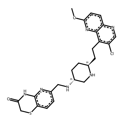 COc1ccc2ncc(Cl)c(CC[C@@H]3CC[C@@H](NCc4ccc5c(n4)NC(=O)CS5)CN3)c2n1